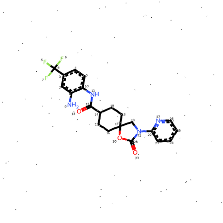 Nc1cc(C(F)(F)F)ccc1NC(=O)C1CCC2(CC1)CN(c1ccccn1)C(=O)O2